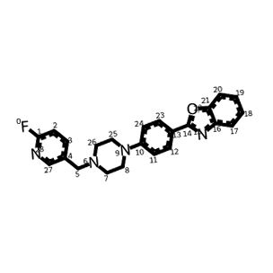 Fc1ccc(CN2CCN(c3ccc(-c4nc5ccccc5o4)cc3)CC2)cn1